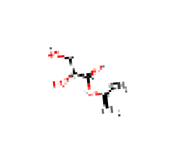 C=C(C)OC(=O)C(O)CO